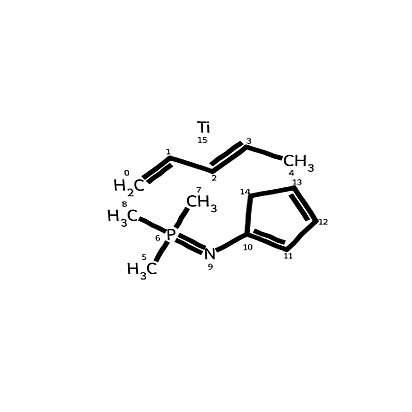 C=CC=CC.CP(C)(C)=NC1=CC=CC1.[Ti]